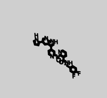 CN(c1cc(-c2c[nH]c3ncc(-c4ccc[nH]4)cc23)ccn1)c1ncccc1C(=O)NCc1ccc(F)c(F)c1